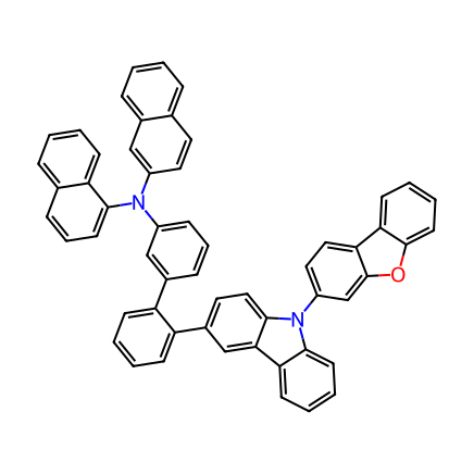 c1cc(-c2ccccc2-c2ccc3c(c2)c2ccccc2n3-c2ccc3c(c2)oc2ccccc23)cc(N(c2ccc3ccccc3c2)c2cccc3ccccc23)c1